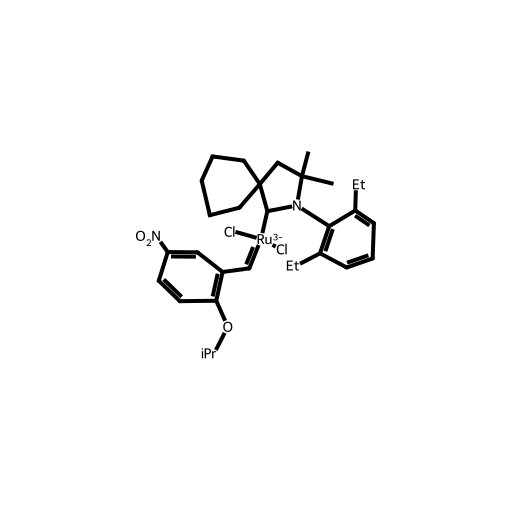 CCc1cccc(CC)c1N1[CH]([Ru-3]([Cl])([Cl])=[CH]c2cc([N+](=O)[O-])ccc2OC(C)C)C2(CCCCC2)CC1(C)C